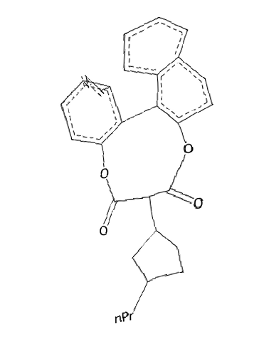 CCCC1CCC(C2C(=O)Oc3ccc4ccccc4c3-c3c(ccc4ccccc34)OC2=O)C1